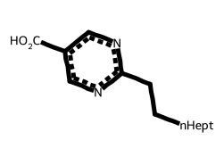 CCCCCCCCCc1ncc(C(=O)O)cn1